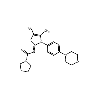 Cc1s/c(=N\C(=O)N2CCCC2)n(-c2ccc(N3CCOCC3)nc2)c1C